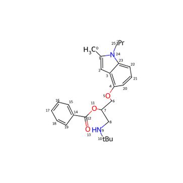 Cc1cc2c(OCC(CNC(C)(C)C)OC(=O)c3ccccc3)cccc2n1C(C)C